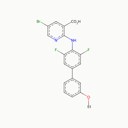 CCOc1cccc(-c2cc(F)c(Nc3ncc(Br)cc3C(=O)O)c(F)c2)c1